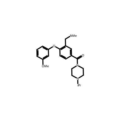 CNCc1cc(C(=O)N2CCN(C(C)C)CC2)ccc1Oc1cccc(OC)c1